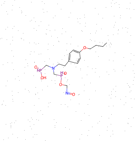 CCCCOc1ccc(CCN(C[PH](=O)O)C[PH](=O)OCN=O)cc1